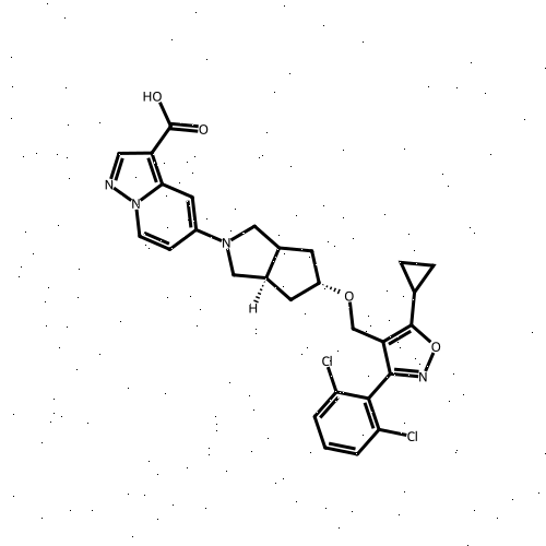 O=C(O)c1cnn2ccc(N3CC4C[C@H](OCc5c(-c6c(Cl)cccc6Cl)noc5C5CC5)C[C@H]4C3)cc12